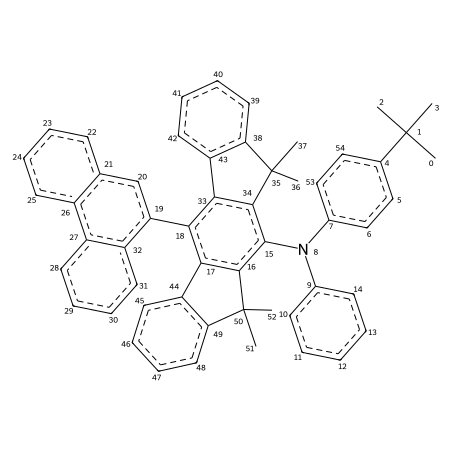 CC(C)(C)c1ccc(N(c2ccccc2)c2c3c(c(-c4cc5ccccc5c5ccccc45)c4c2C(C)(C)c2ccccc2-4)-c2ccccc2C3(C)C)cc1